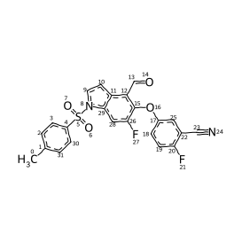 Cc1ccc(S(=O)(=O)n2ccc3c(C=O)c(Oc4ccc(F)c(C#N)c4)c(F)cc32)cc1